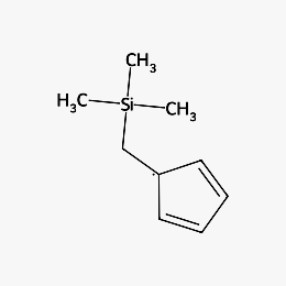 C[Si](C)(C)C[C]1C=CC=C1